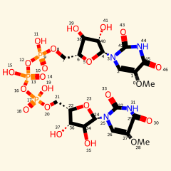 COc1cn([C@@H]2O[C@H](COP(=O)(O)OP(=O)(O)OP(=O)(O)OC[C@@H]3O[C@H](n4cc(OC)c(=O)[nH]c4=O)C(O)[C@@H]3O)C(O)[C@@H]2O)c(=O)[nH]c1=O